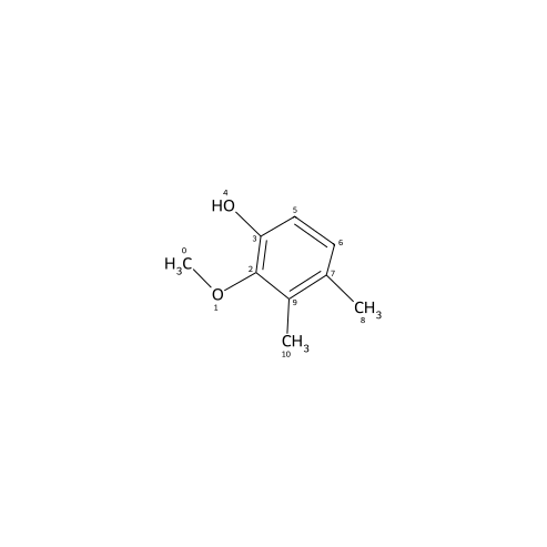 COc1c(O)ccc(C)c1C